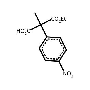 CCOC(=O)C(C)(C(=O)O)c1ccc([N+](=O)[O-])cc1